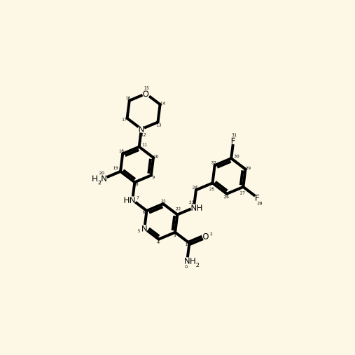 NC(=O)c1cnc(Nc2ccc(N3CCOCC3)cc2N)cc1NCc1cc(F)cc(F)c1